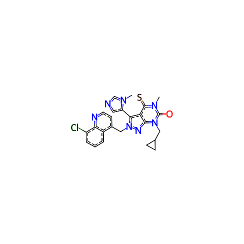 Cn1cncc1-c1c2c(=S)n(C)c(=O)n(CC3CC3)c2nn1Cc1ccnc2c(Cl)cccc12